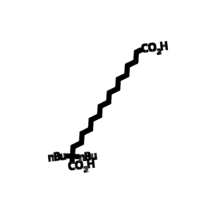 CCCCC(CCCC)(CCCCCCCCCCCCCCCC(=O)O)C(=O)O